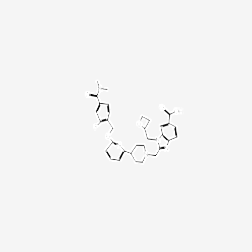 CN(C)C(=O)c1ccc(COc2cccc(C3CCN(Cc4nc5ccc(C(=O)O)cc5n4CC4CCO4)CC3)n2)c(F)c1